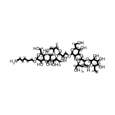 CC(=O)NC1C(OC[C@H](O)C(OC(CO)[C@@H](C)O)O[C@H](C)C(CO)OC(OC2C(CO)OC(OCCCCCN)C(O)C2O)[C@@H](O)CO)OC(CO)C(O)C1OC(OC(CO)[C@@H](C)O)[C@H](CO)OC1OC(CF)C(O)C(O)C1O